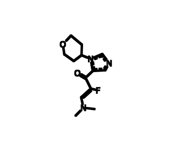 CN(C)/C=C(\F)C(=O)c1cncn1C1CCOCC1